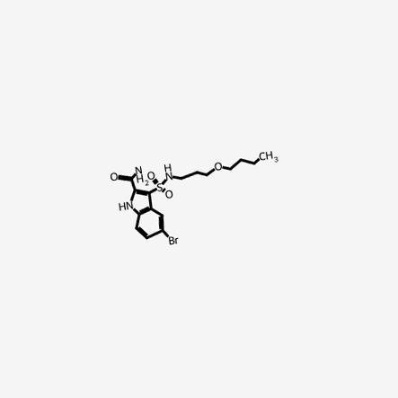 CCCCOCCCNS(=O)(=O)c1c(C(N)=O)[nH]c2ccc(Br)cc12